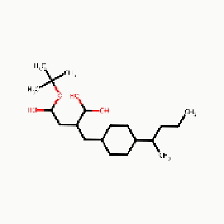 CCCC(C)C1CCC(CC(CC(O)OC(C)(C)C)C(O)O)CC1